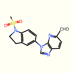 CS(=O)(=O)N1CCc2cc(-n3cnc4ccc(C=O)nc43)ccc21